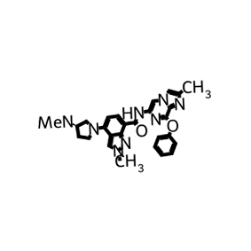 CN[C@H]1CCN(c2ccc(C(=O)Nc3cn4cc(C)nc4c(Oc4ccccc4)n3)c3nn(C)cc23)C1